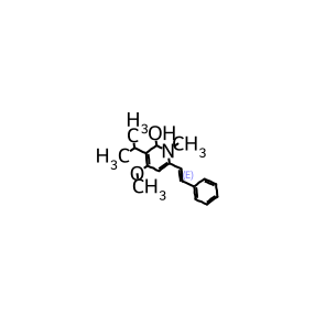 COC1=C(C(C)C)C(O)N(C)C(/C=C/c2ccccc2)=C1